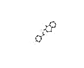 O=C1c2ccccc2C(=O)c2[nH]c(-c3ccc([N+](=O)[O-])cc3)nc21